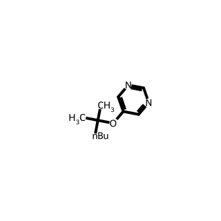 CCCCC(C)(C)Oc1cncnc1